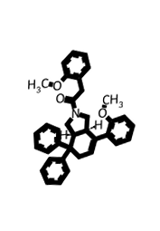 COc1ccccc1CC(=O)N1C[C@H]2C(c3ccccc3OC)=CCC(c3ccccc3)(c3ccccc3)[C@H]2C1